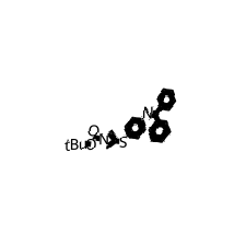 CC(C)(C)OC(=O)N1CC(Sc2ccc(N=C(c3ccccc3)c3ccccc3)cc2)C1